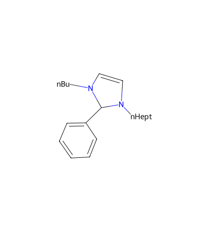 CCCCCCCN1C=CN(CCCC)C1c1ccccc1